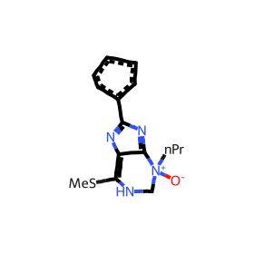 CCC[N+]1([O-])CNC(SC)=C2N=C(c3ccccc3)N=C21